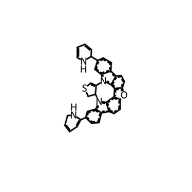 C1=CCNC(c2ccc3c4ccc5oc6ccc7c8ccc(C9C=CC=CN9)cc8n8c7c6c5c4n(c3c2)C2CSC=C28)=C1